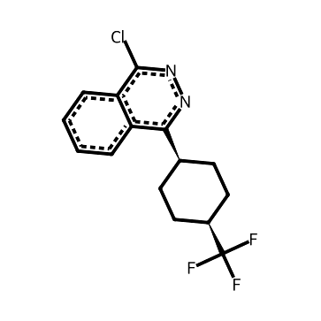 FC(F)(F)[C@H]1CC[C@@H](c2nnc(Cl)c3ccccc32)CC1